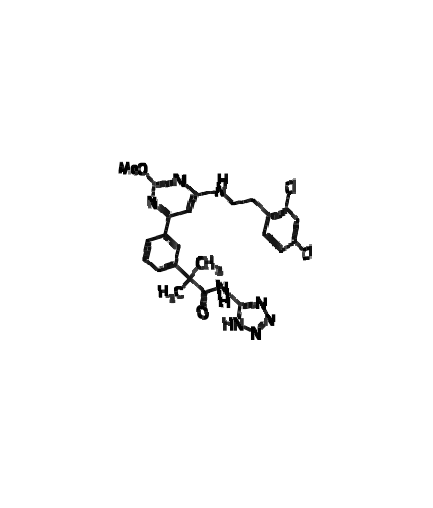 COc1nc(NCCc2ccc(Cl)cc2Cl)cc(-c2cccc(C(C)(C)C(=O)Nc3nnn[nH]3)c2)n1